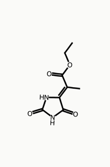 CCOC(=O)/C(C)=C1\NC(=O)NC1=O